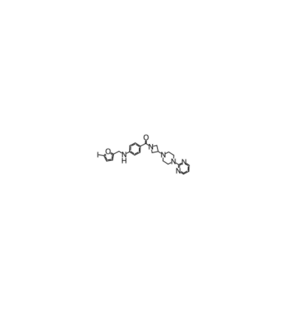 O=C(c1ccc(NCc2ccc(I)o2)cc1)N1CC(N2CCN(c3ncccn3)CC2)C1